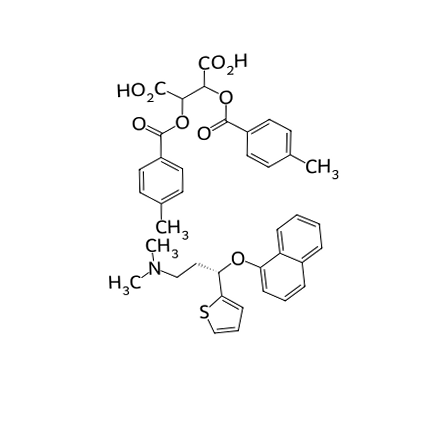 CN(C)CC[C@H](Oc1cccc2ccccc12)c1cccs1.Cc1ccc(C(=O)OC(C(=O)O)C(OC(=O)c2ccc(C)cc2)C(=O)O)cc1